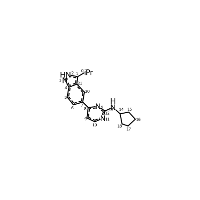 CC(C)c1[nH]nc2ccc(-c3ccnc(NC4CCCC4)n3)cc12